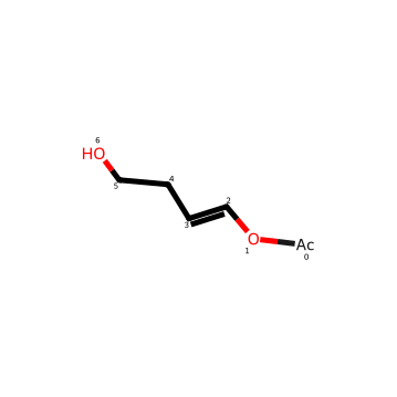 CC(=O)OC=CCCO